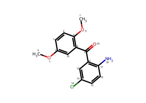 COc1ccc(OC)c(C(=O)c2cc(Cl)ccc2N)c1